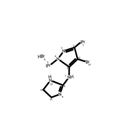 Br.CC(C)c1nn(C(C)C)c(NC2=NCCN2)c1Br